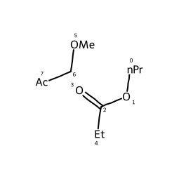 CCCOC(=O)CC.COCC(C)=O